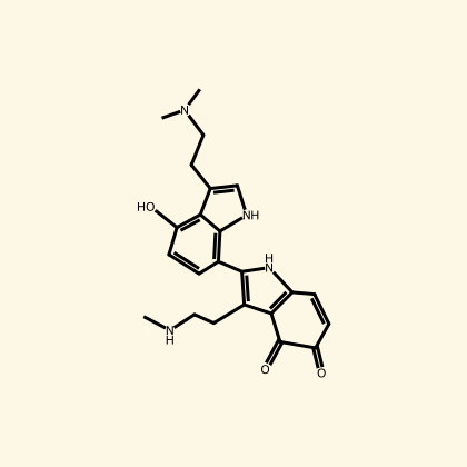 CNCCc1c(-c2ccc(O)c3c(CCN(C)C)c[nH]c23)[nH]c2c1C(=O)C(=O)C=C2